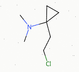 CN(C)C1(CCCl)CC1